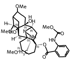 COC(=O)Nc1ccccc1C(=O)O[C@@]12CC[C@H](OC)CC34C1C[C@@H](N3N[C@H]2C)[C@@]1(O)CC(OC)C2C[C@H]4[C@]1(O)[C@H]2OC